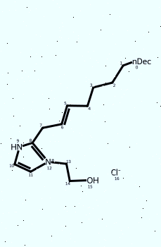 CCCCCCCCCCCCCCC=CCc1[nH]cc[n+]1CCO.[Cl-]